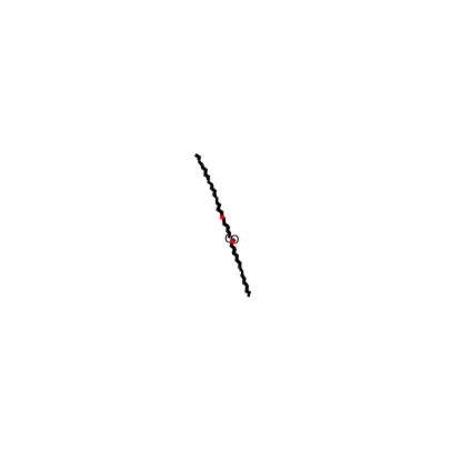 CCCCCCCCCCCCCCCCCCCCCCCCOC(=O)CCCCCCCCCCCCCCC